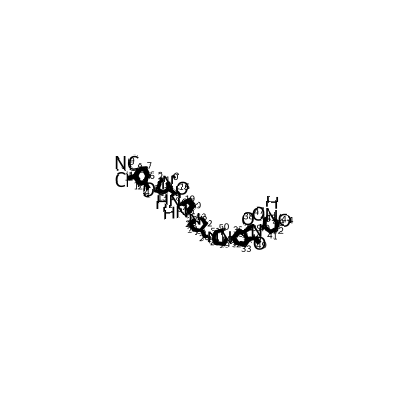 CN1CC(Oc2ccc(C#N)c(Cl)c2)CC1C(=O)Nc1ccc(N2CCC(CN3CCN(c4ccc5c(c4)C(=O)N(C4CCC(=O)NC4=O)C5=O)CC3)CC2)[nH]1